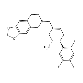 N[C@@H]1CC(CN2CCc3cc4c(cc3C2)OCO4)=CC[C@H]1c1cc(F)c(F)cc1F